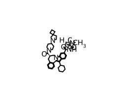 CN(C)S(=O)(=O)NC(=O)c1ccc2c(C3CCCCC3)c3n(c2c1)C[C@H](C(=O)N1CCC(N2CCC4(CCC4)C2)CC1)Cc1ccccc1-3